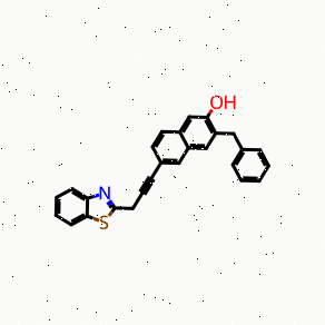 Oc1cc2ccc(C#CCc3nc4ccccc4s3)cc2cc1Cc1ccccc1